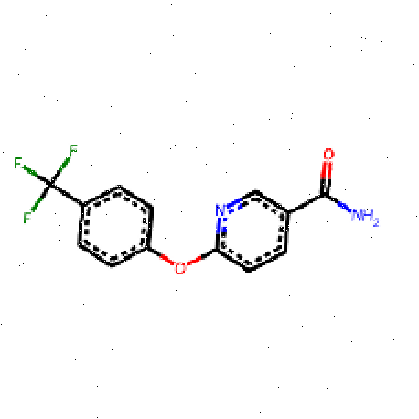 NC(=O)c1ccc(Oc2ccc(C(F)(F)F)cc2)nc1